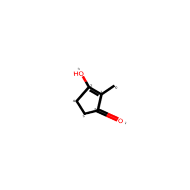 CC1=C(O)CCC1=O